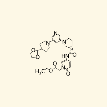 CCOC(=O)Cn1cc(NC(=O)[C@H]2CCCN(c3cncc(N4CCC(C5OCCO5)CC4)c3)C2)ccc1=O